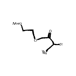 CCC(C)C(CC)C(=O)OCCOC